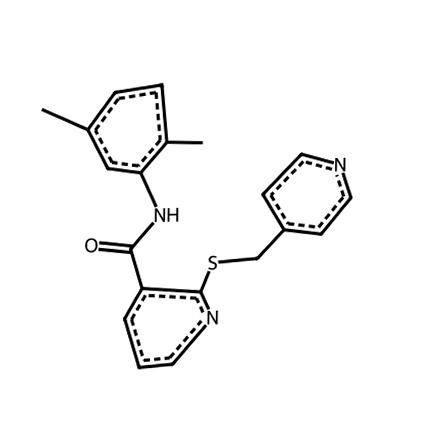 Cc1ccc(C)c(NC(=O)c2cccnc2SCc2ccncc2)c1